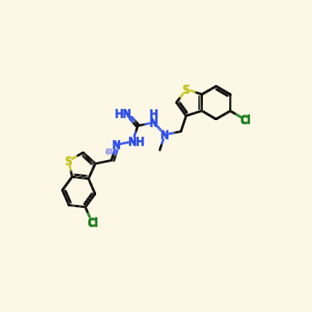 CN(Cc1csc2c1CC(Cl)C=C2)NC(=N)N/N=C/c1csc2ccc(Cl)cc12